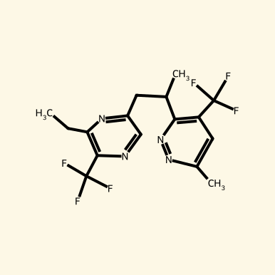 CCc1nc(CC(C)c2nnc(C)cc2C(F)(F)F)cnc1C(F)(F)F